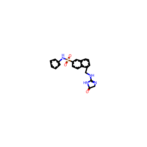 O=C1CN=C(NCc2cccc3cc(S(=O)(=O)Nc4ccccc4)ccc23)N1